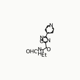 CCC(NC=O)C(=O)c1nc(-c2ccncc2)no1